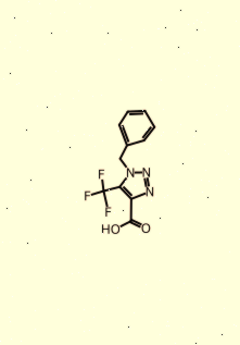 O=C(O)c1nnn(Cc2ccccc2)c1C(F)(F)F